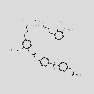 COc1cc(CCC[Si](C)(C)O[Si](C)(C)OCCCc2cccc(OC)c2OC)ccc1OC(=O)Oc1ccc(C(C)(C)c2ccc(OC(C)=O)cc2)cc1